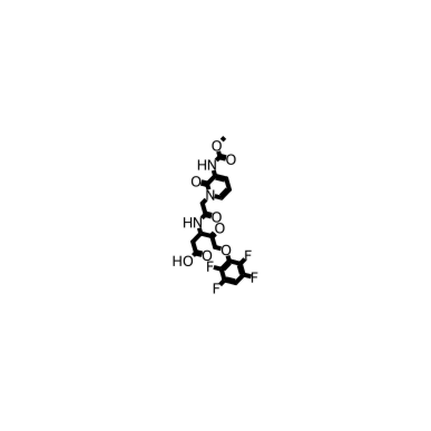 COC(=O)Nc1cccn(CC(=O)NC(CC(=O)O)C(=O)COc2c(F)c(F)cc(F)c2F)c1=O